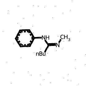 CCCC/C(=N/C)Nc1ccccc1